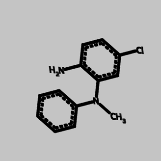 CN(c1ccccc1)c1cc(Cl)ccc1N